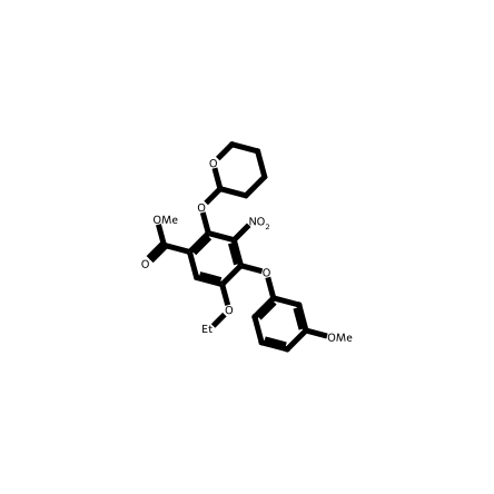 CCOc1cc(C(=O)OC)c(OC2CCCCO2)c([N+](=O)[O-])c1Oc1cccc(OC)c1